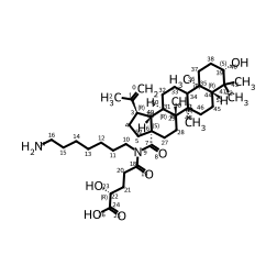 C=C(C)[C@@H]1CC[C@]2(C(=O)N(CCCCCCCN)C(=O)CC[C@@H](O)C(=O)O)CC[C@]3(C)[C@H](CCC4[C@@]5(C)CC[C@H](O)C(C)(C)[C@@H]5CC[C@]43C)[C@@H]12